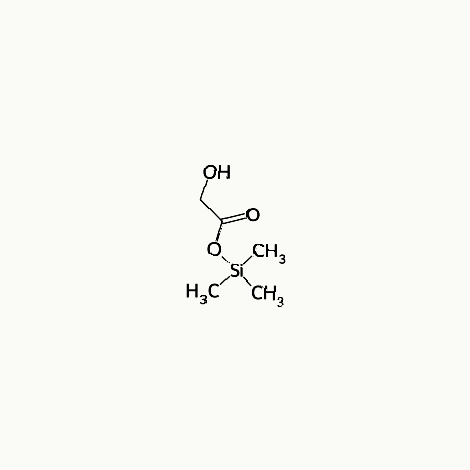 C[Si](C)(C)OC(=O)CO